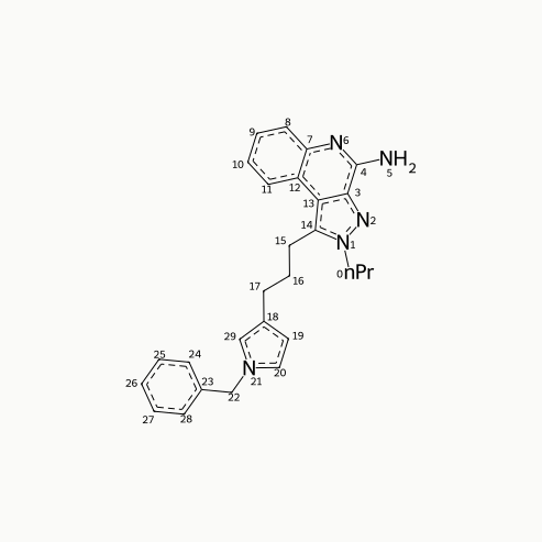 CCCn1nc2c(N)nc3ccccc3c2c1CCCc1ccn(Cc2ccccc2)c1